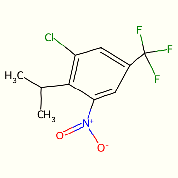 CC(C)c1c(Cl)cc(C(F)(F)F)cc1[N+](=O)[O-]